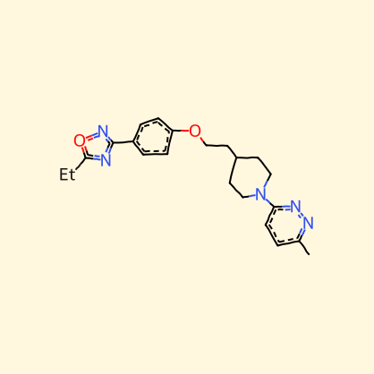 CCc1nc(-c2ccc(OCCC3CCN(c4ccc(C)nn4)CC3)cc2)no1